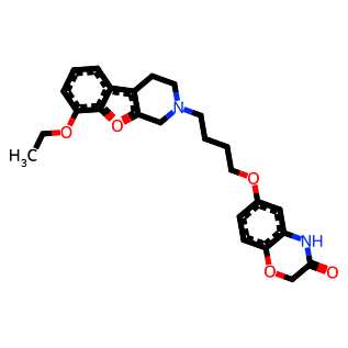 CCOc1cccc2c3c(oc12)CN(CCCCOc1ccc2c(c1)NC(=O)CO2)CC3